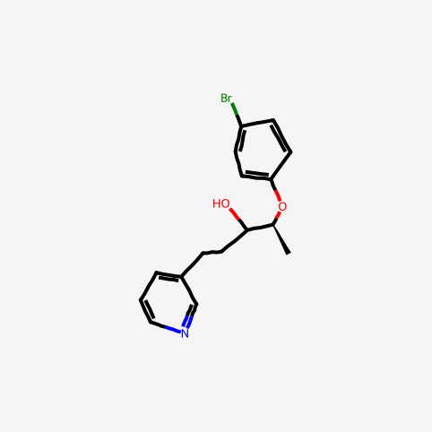 C[C@H](Oc1ccc(Br)cc1)C(O)CCc1cccnc1